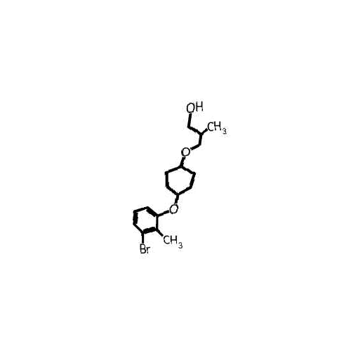 Cc1c(Br)cccc1OC1CCC(OCC(C)CO)CC1